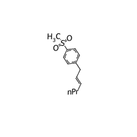 CCCC=CCc1ccc(S(C)(=O)=O)cc1